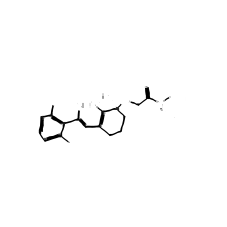 CC(C)[C@]1(OCC(=O)N(C)C)CCCC(/C=C(\N)c2c(F)cccc2F)=C1N